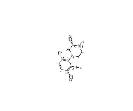 CN1CCC(c2c(F)ccc(Cl)c2F)CC1=O